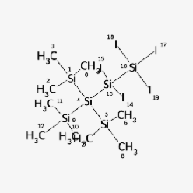 C[Si](C)(C)[Si]([Si](C)(C)C)([Si](C)(C)C)[Si](I)(I)[Si](I)(I)I